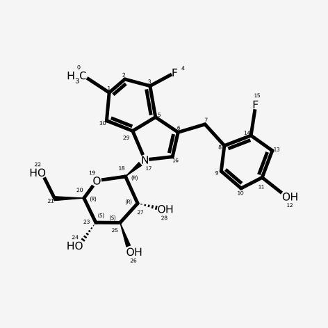 Cc1cc(F)c2c(Cc3ccc(O)cc3F)cn([C@@H]3O[C@H](CO)[C@@H](O)[C@H](O)[C@H]3O)c2c1